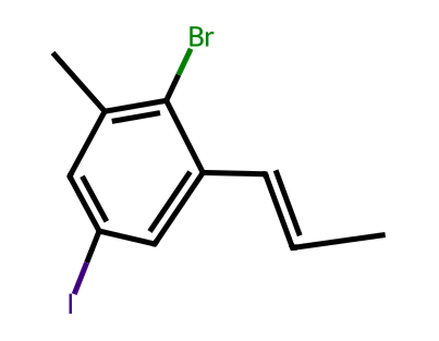 C/C=C/c1cc(I)cc(C)c1Br